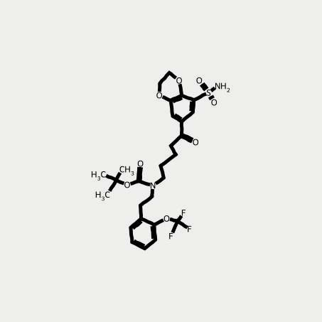 CC(C)(C)OC(=O)N(CCCCC(=O)c1cc2c(c(S(N)(=O)=O)c1)OCCO2)CCc1ccccc1OC(F)(F)F